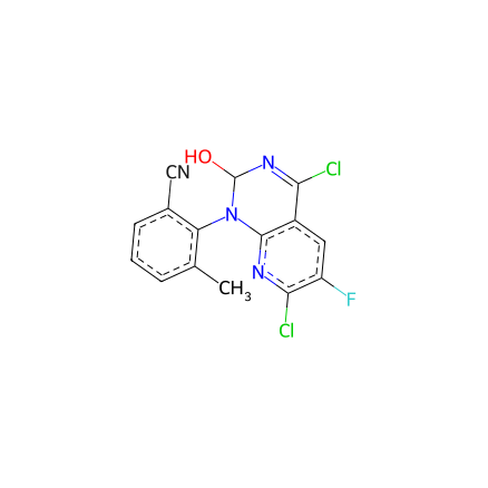 Cc1cccc(C#N)c1N1c2nc(Cl)c(F)cc2C(Cl)=NC1O